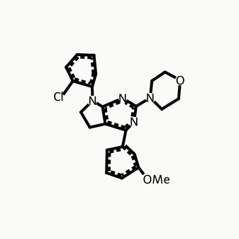 COc1cccc(-c2nc(N3CCOCC3)nc3c2CCN3c2ccccc2Cl)c1